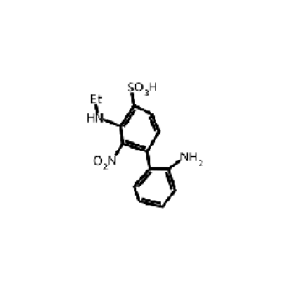 CCNc1c(S(=O)(=O)O)ccc(-c2ccccc2N)c1[N+](=O)[O-]